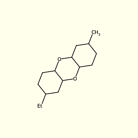 CCC1CCC2OC3CC(C)CCC3OC2C1